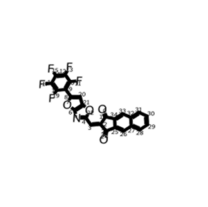 O=C1C(=Cc2nc3oc(-c4c(F)c(F)c(F)c(F)c4F)cc3o2)C(=O)c2cc3ccccc3cc21